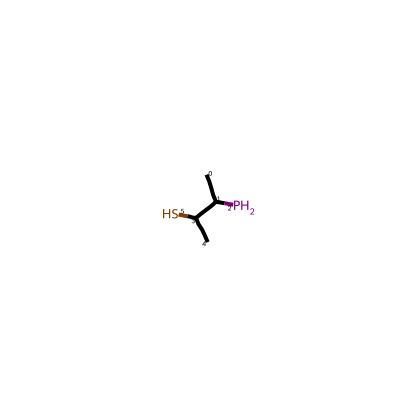 CC(P)C(C)S